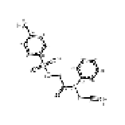 C#CCN(C(=O)COS(=O)(=O)c1ccc(C)cc1)c1ccccc1